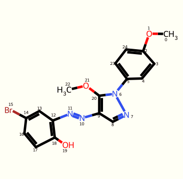 COc1ccc(-n2ncc(N=Nc3cc(Br)ccc3O)c2OC)cc1